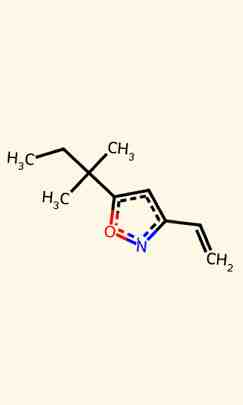 C=Cc1cc(C(C)(C)CC)on1